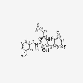 CCc1cccc(CNC[C@@H](O)[C@H](Cc2cc(F)cc(F)c2)NC(=O)CC2CC2)c1